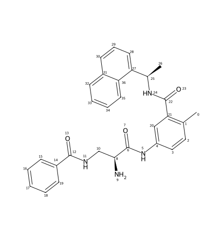 Cc1ccc(NC(=O)[C@@H](N)CNC(=O)c2ccccc2)cc1C(=O)N[C@H](C)c1cccc2ccccc12